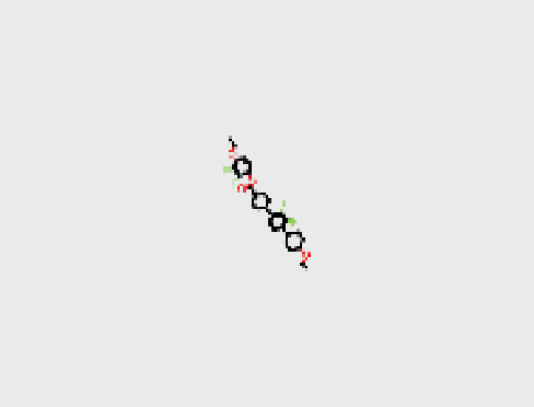 CCOc1ccc(OC(=O)C2CCC(c3ccc(C4CCC(OCC)CC4)c(F)c3F)CC2)c(F)c1F